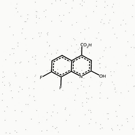 O=C(O)c1cc(O)nc2c(F)c(F)ccc12